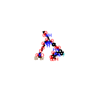 CC[C@@]1(O)C(=O)OCc2c1cc1n(c2=O)Cc2c-1nc1cc(F)c(C)c3c1c2C(NC(=O)OCc1ccc(NC(=O)[C@H](CCCCNC(=O)OC(C)(C)C)NC(=O)[C@H](C)NC(=O)CCOCCOCCN2C(=O)C(Br)=C(Br)C2=O)cc1)CC3